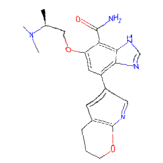 C[C@@H](COc1cc(-c2cnc3c(c2)CCCO3)c2nc[nH]c2c1C(N)=O)N(C)C